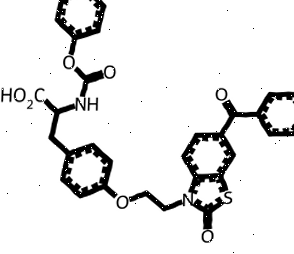 O=C(NC(Cc1ccc(OCCn2c(=O)sc3cc(C(=O)c4ccccc4)ccc32)cc1)C(=O)O)Oc1ccccc1